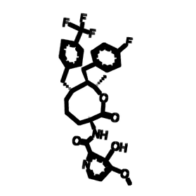 COc1ccnc(C(=O)N[C@H]2CCC[C@H](Cc3ccc(C(F)(F)F)cc3)[C@@H](Cc3ccc(F)cc3)[C@H](C)OC2=O)c1O